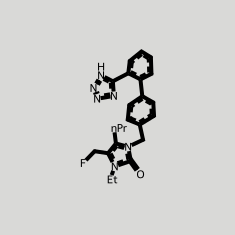 CCCc1c(CF)n(CC)c(=O)n1Cc1ccc(-c2ccccc2-c2nnn[nH]2)cc1